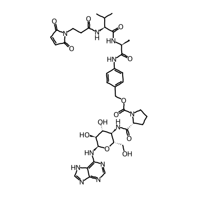 CC(C)[C@H](NC(=O)CCN1C(=O)C=CC1=O)C(=O)N[C@@H](C)C(=O)Nc1ccc(COC(=O)N2CCC[C@@H]2C(=O)N[C@@H]2[C@@H](O)[C@H](O)[C@H](Nc3ncnc4nc[nH]c34)O[C@H]2CO)cc1